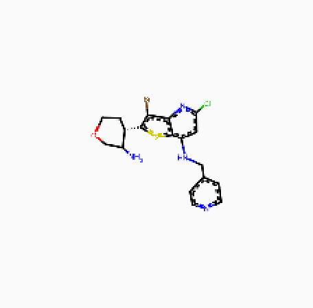 N[C@H]1COCC[C@@H]1c1sc2c(NCc3ccncc3)cc(Cl)nc2c1Br